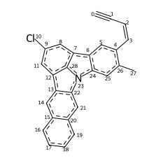 C#C/C=C\c1cc2c3cc(Cl)cc4c5cc6ccccc6cc5n(c2cc1C)c34